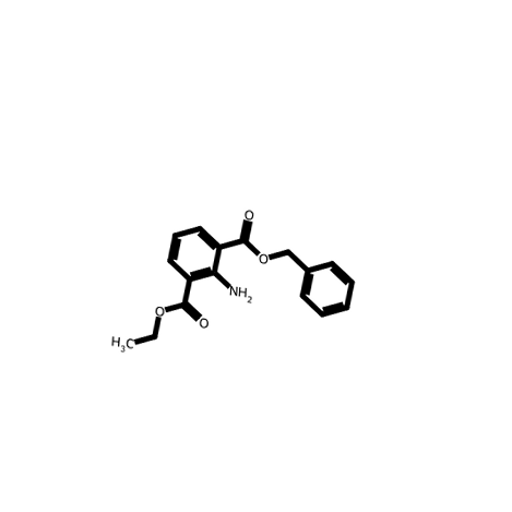 CCOC(=O)c1cccc(C(=O)OCc2ccccc2)c1N